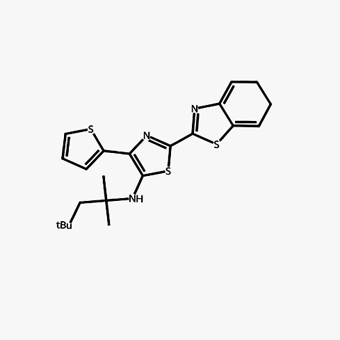 CC(C)(C)CC(C)(C)Nc1sc(-c2nc3c(s2)=CCCC=3)nc1-c1cccs1